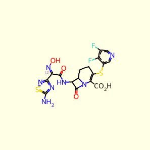 Nc1nc(/C(=N/O)C(=O)NC2C(=O)N3C(C(=O)O)=C(Sc4cncc(F)c4F)CCC23)ns1